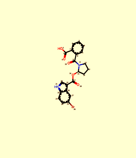 O=C(O)c1ccccc1C(=O)N1CCC[C@H]1OC(=O)c1c[nH]c2ccc(Br)cc12